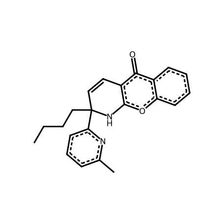 CCCCC1(c2cccc(C)n2)C=Cc2c(oc3ccccc3c2=O)N1